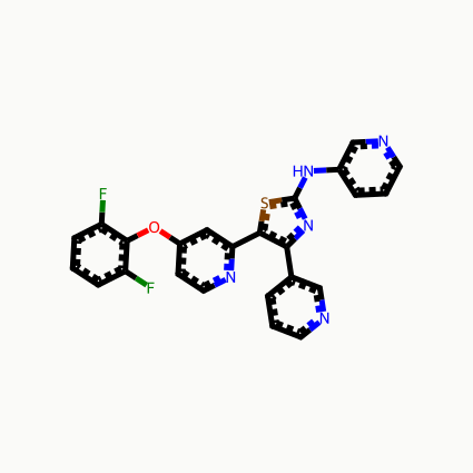 Fc1cccc(F)c1Oc1ccnc(-c2sc(Nc3cccnc3)nc2-c2cccnc2)c1